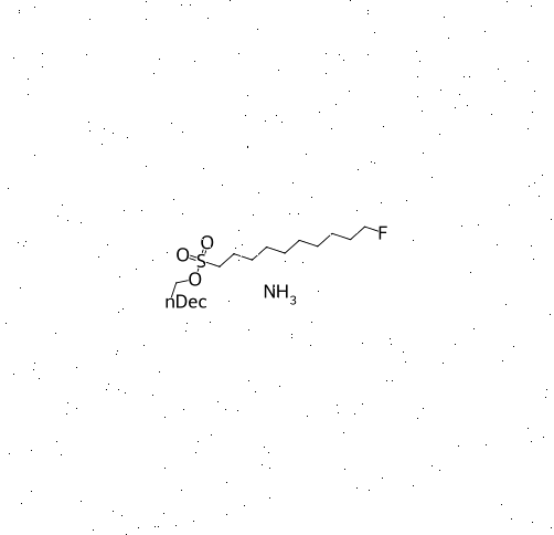 CCCCCCCCCCCOS(=O)(=O)CCCCCCCCCCF.N